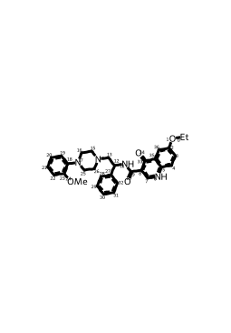 CCOc1ccc2[nH]cc(C(=O)NC(CN3CCN(c4ccccc4OC)CC3)c3ccccc3)c(=O)c2c1